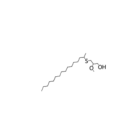 CCCCCCCCCCCCCCC(C)SCC(CO)OC